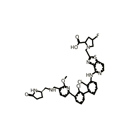 COc1nc(-c2cccc(-c3cccc(Nc4nccc5sc(CN6CC(F)CC6C(=O)O)nc45)c3Cl)c2Cl)ccc1CNC[C@H]1CCC(=O)N1